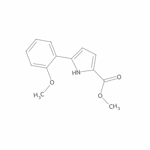 COC(=O)c1ccc(-c2ccccc2OC)[nH]1